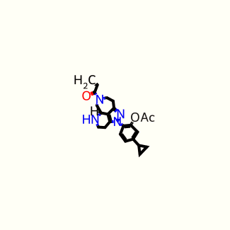 C=CC(=O)N1CCc2nn(-c3ccc(C4CC4)cc3OC(C)=O)c3c2[C@H](C1)NCC3